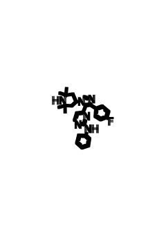 CC1(C)CC(n2cnc(-c3ccc(F)cc3)c2-c2ccnc(Nc3ccccc3)n2)CC(C)(C)N1